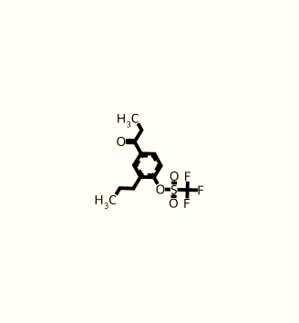 CCCc1cc(C(=O)CC)ccc1OS(=O)(=O)C(F)(F)F